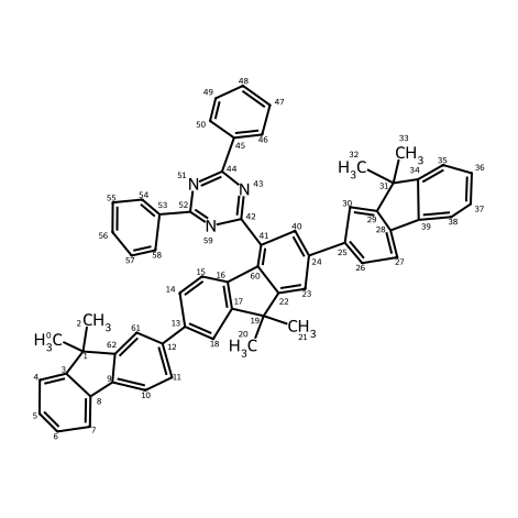 CC1(C)c2ccccc2-c2ccc(-c3ccc4c(c3)C(C)(C)c3cc(-c5ccc6c(c5)C(C)(C)c5ccccc5-6)cc(-c5nc(-c6ccccc6)nc(-c6ccccc6)n5)c3-4)cc21